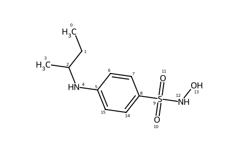 CCC(C)Nc1ccc(S(=O)(=O)NO)cc1